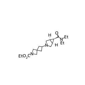 CCOC(=O)N1CC2(CC(N3C[C@@H]4[C@H](C3)[C@@H]4C(=O)N(CC)CC)C2)C1